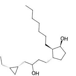 CCCCCCC[C@@H]1[C@@H](CCC(O)C[C@@H]2C[C@@H]2CC)CC[C@@H]1O